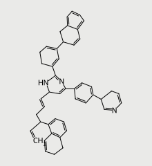 C=CC(C/C=C/C1C=C(c2ccc(C3C=NC=CC3)cc2)N=C(C2=CC(C3C=Cc4ccccc4C3)=CCC2)N1)c1cccc2c1C=CCC2